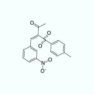 CC(=O)C(=Cc1cccc([N+](=O)[O-])c1)S(=O)(=O)c1ccc(C)cc1